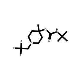 CC(C)(C)NC(=O)OC1(C)CCN(CC(F)(F)F)CC1